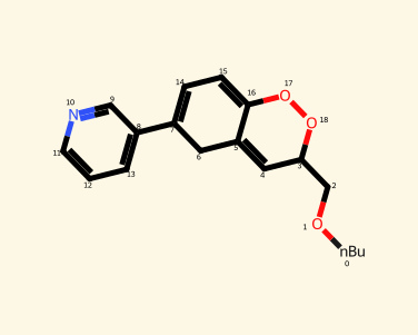 CCCCOCC1C=C2CC(c3[c]nccc3)=CC=C2OO1